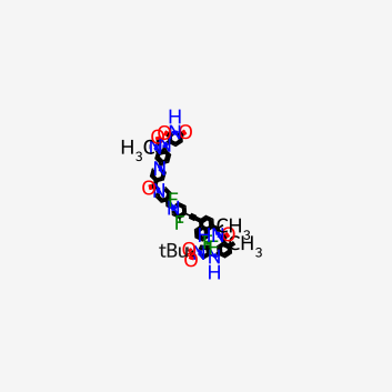 Cc1ccc(N[C@H]2CN(C(=O)OC(C)(C)C)CC2(F)F)cc1C(=O)N[C@H](C)c1ccc(C#C[C@@H]2CCN(CC3(F)CCN(C(=O)C4CCN(c5ccc6c(c5)n(C)c(=O)n6C5CCC(=O)NC5=O)CC4)CC3)C[C@@H]2F)c2ccccc12